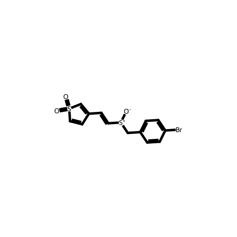 O=S1(=O)C=CC(C=C[S+]([O-])Cc2ccc(Br)cc2)=C1